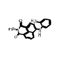 CCCN1C(=O)c2cccc3c(Nc4ccccc4N)ccc(c23)C1=O